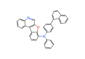 c1ccc(N(c2ccc(-c3cccc4ccccc34)cc2)c2cccc3c2oc2cnc4ccccc4c23)cc1